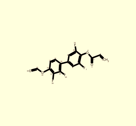 C=CC(=O)Oc1c(F)cc(-c2ccc(OC=O)c(F)c2F)cc1F